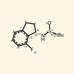 CC(C)(C)[S@+]([O-])N[C@H]1CCc2cccc(F)c21